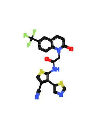 N#Cc1csc(NC(=O)Cn2c(=O)ccc3cc(C(F)(F)F)ccc32)c1-c1cncs1